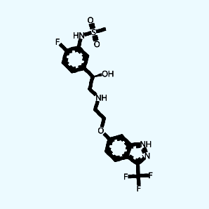 CS(=O)(=O)Nc1cc([C@@H](O)CNCCOc2ccc3c(C(F)(F)F)n[nH]c3c2)ccc1F